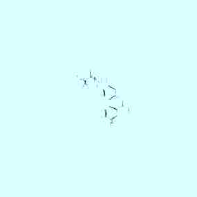 CCC(Oc1ccc(CNC(C)C(N)=O)cc1)c1cccc(F)c1